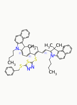 CCCCN1/C(=C/C=C2\CCCC(/C=C/C3=[N+](CCCC)c4ccc5ccccc5c4C3(C)C)=C2Sc2nnc(SCc3ccccc3)s2)C(C)c2c1ccc1ccccc21